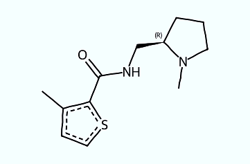 Cc1ccsc1C(=O)NC[C@H]1CCCN1C